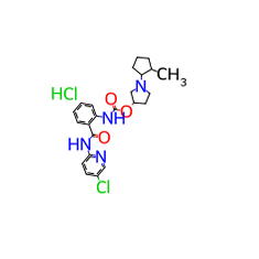 CC1CCCC1N1CCC(OC(=O)Nc2ccccc2C(=O)Nc2ccc(Cl)cn2)C1.Cl